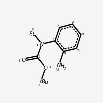 CCN(C(=O)OC(C)(C)C)c1ccccc1N